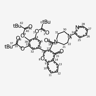 CC(C)(C)C(=O)Oc1cc(-c2oc3ccccc3c(=O)c2C(=O)N2CCN(c3ccccn3)CC2)cc(OC(=O)C(C)(C)C)c1OC(=O)C(C)(C)C